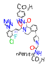 CCCCC[C@H](NC(=O)CN1CC=C(c2cccc3c2CCN(C(=O)/C=C/c2c(-n4cnnn4)ccc(Cl)c2F)C3C(=O)Nc2ccc(C(=O)O)cc2)CC1)C(=O)O